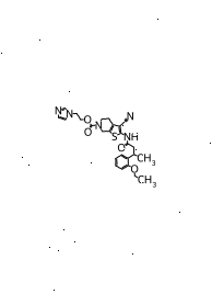 CCOc1ccccc1C(C)CC(=O)Nc1sc2c(c1C#N)CCN(C(=O)OCCn1ccnc1)C2